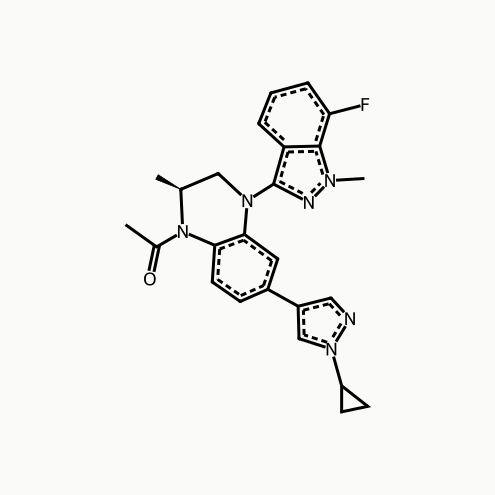 CC(=O)N1c2ccc(-c3cnn(C4CC4)c3)cc2N(c2nn(C)c3c(F)cccc23)C[C@@H]1C